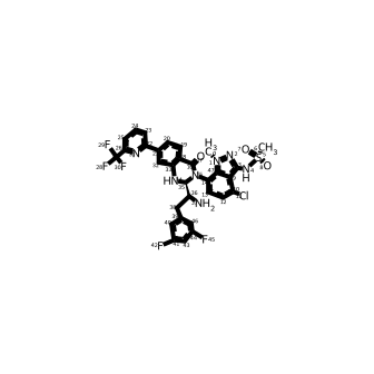 Cn1nc(NS(C)(=O)=O)c2c(Cl)ccc(N3C(=O)c4ccc(-c5cccc(C(F)(F)F)n5)cc4N[C@@H]3C(N)Cc3cc(F)cc(F)c3)c21